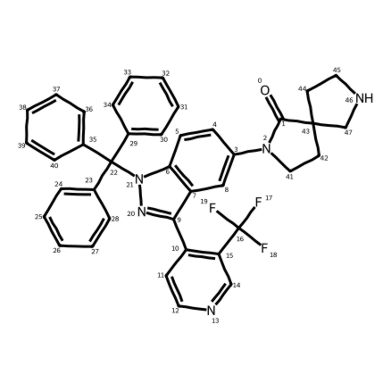 O=C1N(c2ccc3c(c2)c(-c2ccncc2C(F)(F)F)nn3C(c2ccccc2)(c2ccccc2)c2ccccc2)CCC12CCNC2